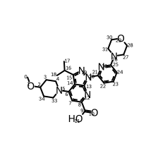 COC1CCN(c2cc(C(=O)O)nc3c2c(C(C)C)nn3-c2cccc(N3CCOCC3)n2)CC1